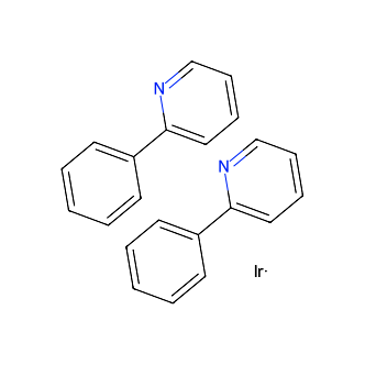 [Ir].c1ccc(-c2ccccn2)cc1.c1ccc(-c2ccccn2)cc1